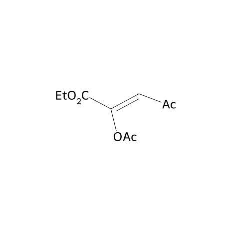 CCOC(=O)C(=CC(C)=O)OC(C)=O